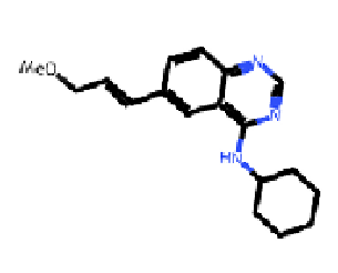 COC/C=C/c1ccc2ncnc(NC3CCCCC3)c2c1